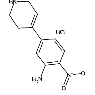 Cl.Nc1cc(C2=CCNCC2)ccc1[N+](=O)[O-]